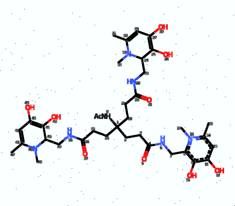 CC(=O)NC(CCC(=O)NCc1c(O)c(O)cc(C)[n+]1C)(CCC(=O)NCC1C(O)=C(O)C=C(C)N1C)CCC(=O)NCC1C(O)=C(O)C=C(C)N1C